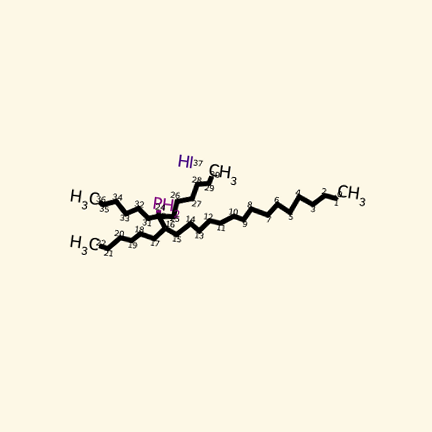 CCCCCCCCCCCCCCCCC(CCCCCC)C(P)(CCCCCC)CCCCCC.I